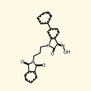 O=C1c2ccccc2C(=O)N1CCCN1C(=O)/C(=N\O)c2ccc(-c3ccccc3)cc21